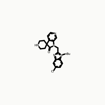 CCCCn1c(CN2C(=O)C3(CCNCC3)c3ccncc32)nc2cc(Cl)ccc21